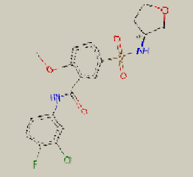 COc1ccc(S(=O)(=O)N[C@H]2CCOC2)cc1C(=O)Nc1ccc(F)c(Cl)c1